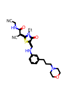 CCn1c(=C(C#N)C(=O)NCC#N)sc(=CNc2cccc(CCCN3CCOCC3)c2)c1=O